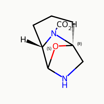 O=C(O)N1[C@H]2CCC[C@@]13CNC2O3